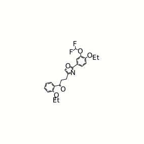 CCOc1ccc(-c2nc(CCC(=O)c3ccccc3OCC)co2)cc1OC(F)F